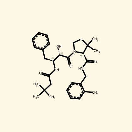 Cc1ccccc1CNC(=O)[C@H]1N(C(=O)[C@@H](O)[C@H](Cc2ccccc2)NC(=O)CC(C)(C)C)CSC1(C)C